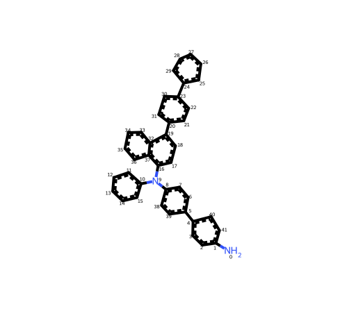 Nc1ccc(-c2ccc(N(c3ccccc3)c3ccc(-c4ccc(-c5ccccc5)cc4)c4ccccc34)cc2)cc1